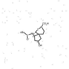 CCCC[S+]([O-])N[C@@H]1C[C@H](O)CC12CCN(C(=O)O)CC2